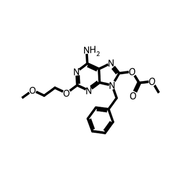 COCCOc1nc(N)c2nc(OC(=O)OC)n(Cc3ccccc3)c2n1